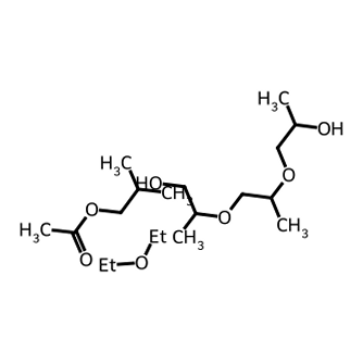 CC(=O)OCC(C)C.CC(O)COC(C)COC(C)CO.CCOCC